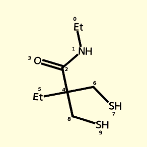 CCNC(=O)C(CC)(CS)CS